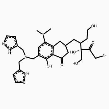 CC(=O)CC(=O)[C@@](O)(CO)C(CCO)CC1CC(=O)c2c(O)c(CN(Cc3ccn[nH]3)Cc3ccn[nH]3)cc(N(C)C)c2C1